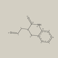 O=[C]CC1Sc2ccccc2NC1=O